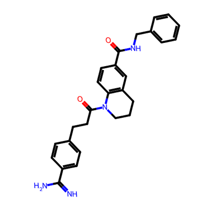 N=C(N)c1ccc(CCC(=O)N2CCCc3cc(C(=O)NCc4ccccc4)ccc32)cc1